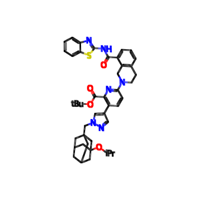 CC(C)OC12CC3CC(CC(Cn4cc(-c5ccc(N6CCc7cccc(C(=O)Nc8nc9ccccc9s8)c7C6)nc5C(=O)OC(C)(C)C)cn4)(C3)C1)C2